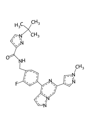 Cn1cc(-c2cn3nccc3c(-c3ccc(CNC(=O)c4ccn(C(C)(C)C)n4)c(F)c3)n2)cn1